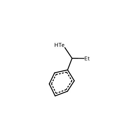 CCC([TeH])c1ccccc1